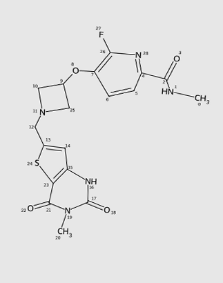 CNC(=O)c1ccc(OC2CN(Cc3cc4[nH]c(=O)n(C)c(=O)c4s3)C2)c(F)n1